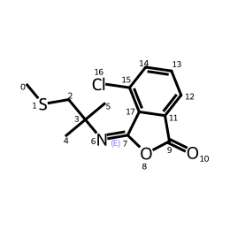 CSCC(C)(C)/N=C1/OC(=O)c2cccc(Cl)c21